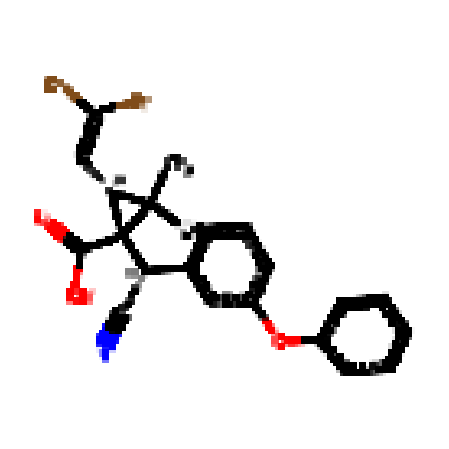 CC1(C)[C@@H](C=C(Br)Br)C1(C(=O)O)[C@@H](C#N)c1cccc(Oc2ccccc2)c1